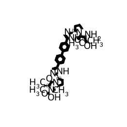 CC(C)[C@@H](C(=O)N1CCC[C@H]1c1ncc(-c2ccc(-c3ccc(-c4cnc([C@@H]5CCCN5C(=O)[C@@H](N)C(C)(C)O)[nH]4)cc3)cc2)[nH]1)N(C)C(=O)O